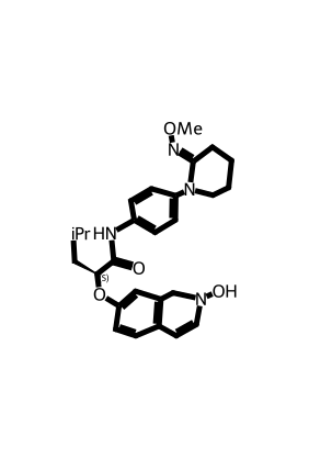 CON=C1CCCCN1c1ccc(NC(=O)[C@H](CC(C)C)Oc2ccc3c(c2)CN(O)C=C3)cc1